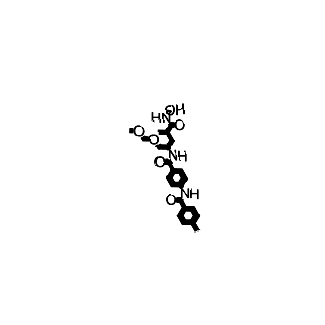 COCOCC(CC(C)C(=O)NO)NC(=O)c1ccc(NC(=O)c2ccc(C)cc2)cc1